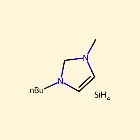 CCCCN1C=CN(C)C1.[SiH4]